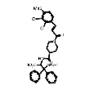 CSc1ccc(C=CC(=O)N2CCC(C(=O)N[C@H](C(=O)O)C(NC(C)=O)(c3ccccc3)c3ccccc3)CC2)c(Cl)c1Cl